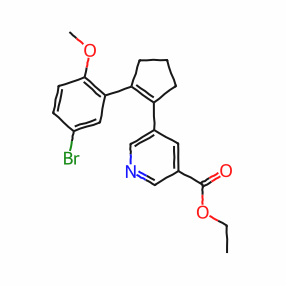 CCOC(=O)c1cncc(C2=C(c3cc(Br)ccc3OC)CCC2)c1